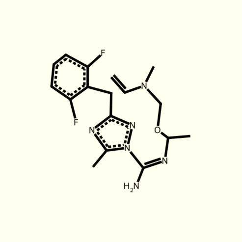 C=CN(C)COC(C)/N=C(/N)n1nc(Cc2c(F)cccc2F)nc1C